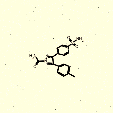 Cc1ccc(-c2[c]n(C(N)=O)nc2-c2ccc(S(N)(=O)=O)cc2)cc1